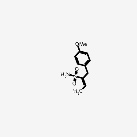 CC=C(Cc1ccc(OC)cc1)S(N)(=O)=O